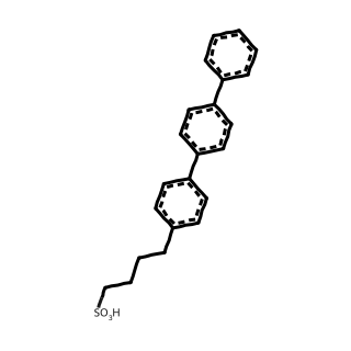 O=S(=O)(O)CCCCc1ccc(-c2ccc(-c3ccccc3)cc2)cc1